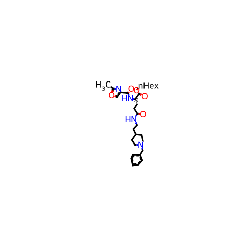 CCCCCCOC(=O)[C@H](CCC(=O)NCCC1CCN(Cc2ccccc2)CC1)NC(=O)c1coc(C)n1